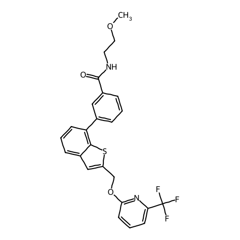 COCCNC(=O)c1cccc(-c2cccc3cc(COc4cccc(C(F)(F)F)n4)sc23)c1